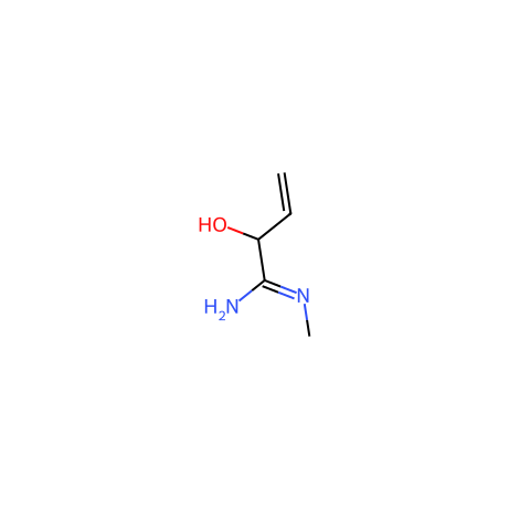 C=CC(O)C(N)=NC